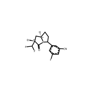 CC[C@@]1(C(F)F)C[C@H]2CCC(c3cc(F)cc(C#N)c3)N2C1=O